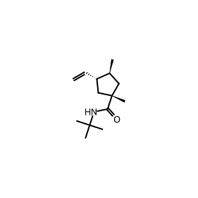 C=C[C@H]1C[C@@](C)(C(=O)NC(C)(C)C)C[C@@H]1C